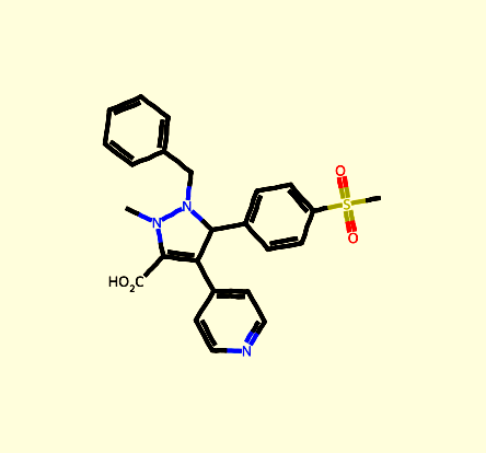 CN1C(C(=O)O)=C(c2ccncc2)C(c2ccc(S(C)(=O)=O)cc2)N1Cc1ccccc1